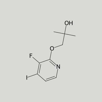 CC(C)(O)COc1nccc(I)c1F